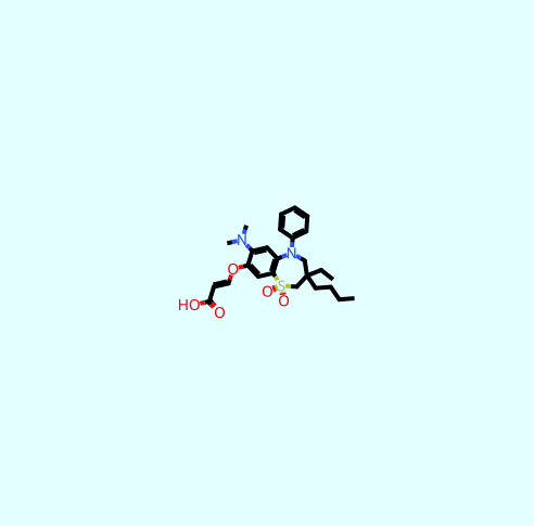 CCCCC1(CC)CN(c2ccccc2)c2cc(N(C)C)c(O/C=C/C(=O)O)cc2S(=O)(=O)C1